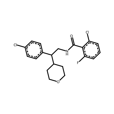 O=C(NCC(c1ccc(Cl)cc1)C1CCOCC1)c1c(F)cccc1Cl